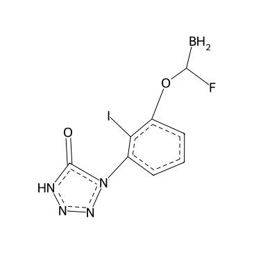 BC(F)Oc1cccc(-n2nn[nH]c2=O)c1I